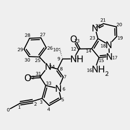 CC#Cc1ccn2cc([C@H](C)NC(=O)c3c(N)nn4cccnc34)n(-c3ccccc3)c(=O)c12